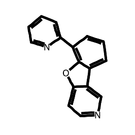 c1ccc(-c2cccc3c2oc2ccncc23)nc1